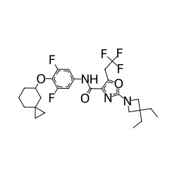 CCC1(CC)CN(c2nc(C(=O)Nc3cc(F)c(OC4CCCC5(CC5)C4)c(F)c3)c(CC(F)(F)F)o2)C1